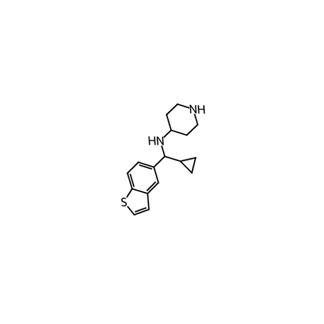 c1cc2cc(C(NC3CCNCC3)C3CC3)ccc2s1